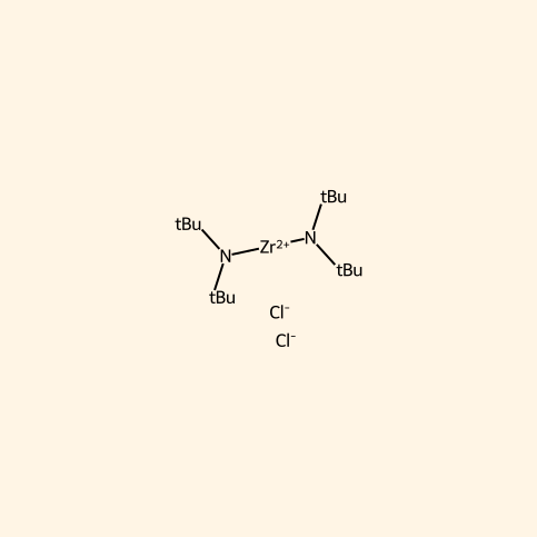 CC(C)(C)[N]([Zr+2][N](C(C)(C)C)C(C)(C)C)C(C)(C)C.[Cl-].[Cl-]